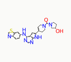 O=C(N1CC=C(c2cc3c(Nc4ccc5ncsc5c4)ncnc3[nH]2)CC1)N1CC[C@@H](O)C1